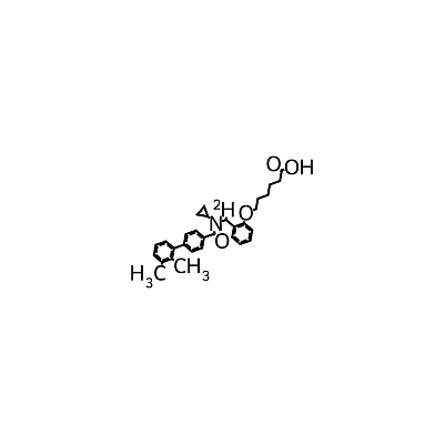 [2H]C(c1ccccc1OCCCCCC(=O)O)N(C(=O)c1ccc(-c2cccc(C)c2C)cc1)C1CC1